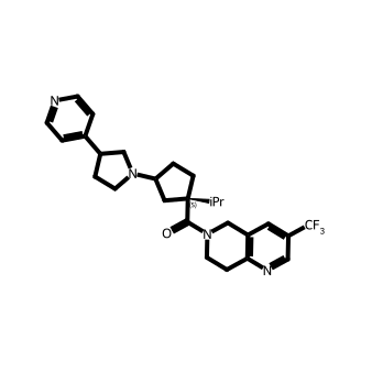 CC(C)[C@]1(C(=O)N2CCc3ncc(C(F)(F)F)cc3C2)CCC(N2CCC(c3ccncc3)C2)C1